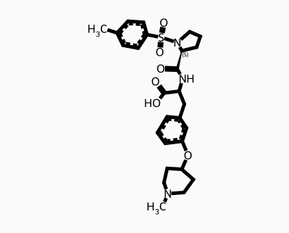 Cc1ccc(S(=O)(=O)N2CCC[C@H]2C(=O)NC(Cc2cccc(OC3CCN(C)CC3)c2)C(=O)O)cc1